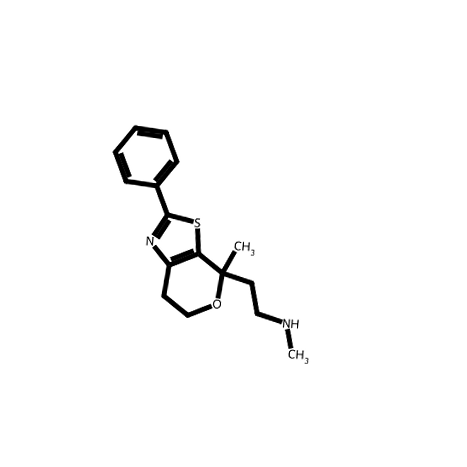 CNCCC1(C)OCCc2nc(-c3ccccc3)sc21